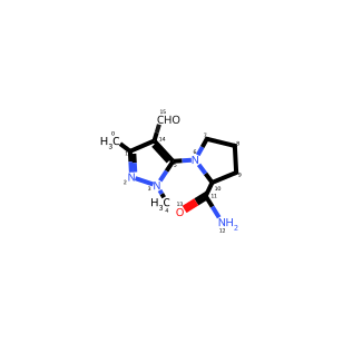 Cc1nn(C)c(N2CCCC2C(N)=O)c1C=O